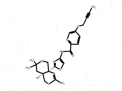 CC#CCOc1ccc(C(=O)Nc2csc([C@@]34COC(C)(C)C[C@@H]3CSC(N)=N4)n2)nc1